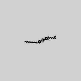 CCCCCCCCCCCCOc1ccc(-c2ncc(-c3ccc(OC(=O)CCCCC(C)CC)cc3)cn2)cc1